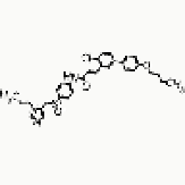 CCCCOc1ccc(-c2ccc(Cl)c(/C=C/C(=O)Nc3ccc([S+]([O-])Cc4cncn4CCC)cc3)c2)cc1